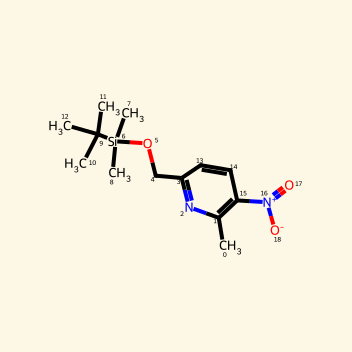 Cc1nc(CO[Si](C)(C)C(C)(C)C)ccc1[N+](=O)[O-]